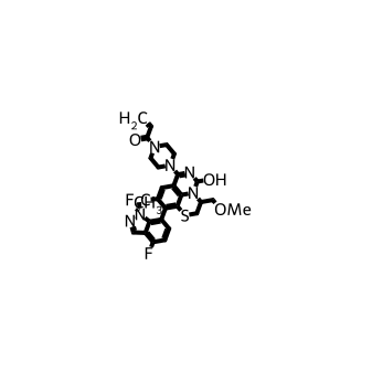 C=CC(=O)N1CCN(C2=NC(O)N3c4c2cc(C(F)(F)F)c(-c2ccc(F)c5cnn(C)c25)c4SCC3COC)CC1